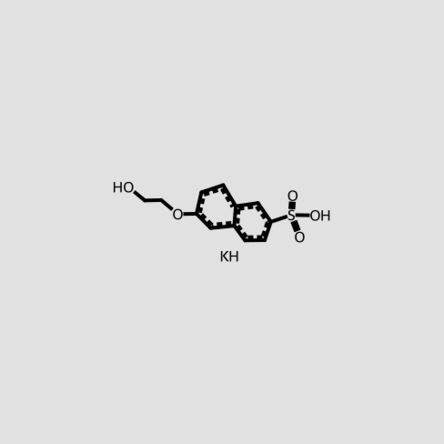 O=S(=O)(O)c1ccc2cc(OCCO)ccc2c1.[KH]